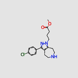 COC(=O)CCCn1nc(-c2ccc(Cl)cc2)c2c1CCNCC2